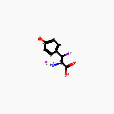 I.N[C@H](C(=O)O)C(I)c1ccc(O)cc1